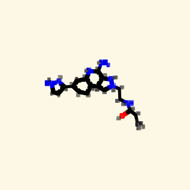 Nc1nc2cc(-c3cc[nH]n3)ccc2c2cn(CCNC(=O)CC(F)(F)F)nc12